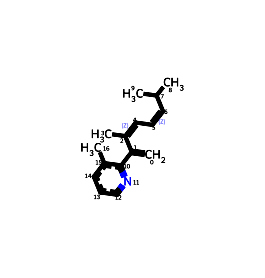 C=C(/C(C)=C\C=C/C(C)C)c1ncccc1C